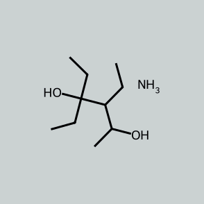 CCC(C(C)O)C(O)(CC)CC.N